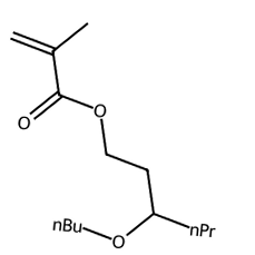 C=C(C)C(=O)OCCC(CCC)OCCCC